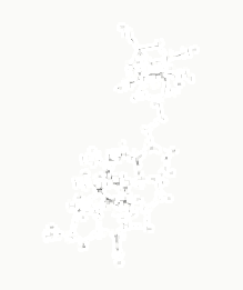 Cc1c(CCB2O[C@@H]3C[C@@H]4C[C@@H](C4(C)C)[C@]3(C)O2)ccc(OC2CN(C(=O)[C@@H]3C[C@H](O)CN3C(=O)OC(C)(C)C)C2)c1C(=O)OC(C)(C)C